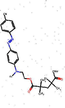 CCN(CCOC(=O)C(C)(C)CC(C)(CC)C(=O)OC)c1ccc(/N=N/c2ccc(C#N)cc2)cc1